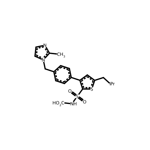 Cc1nccn1Cc1ccc(-c2cc(CC(C)C)sc2S(=O)(=O)NC(=O)O)cc1